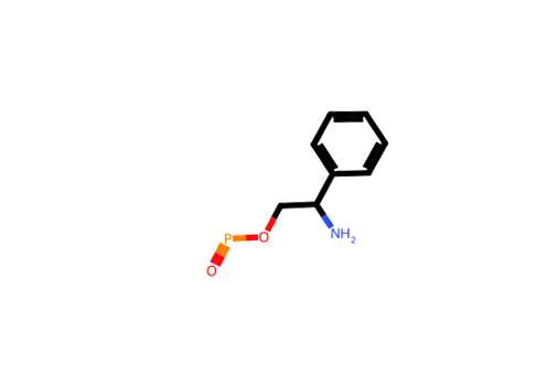 NC(COP=O)c1ccccc1